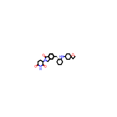 O=C1CCC(N2Cc3cc(C[C@H]4CCCCC4NC4CCC5(CCO5)CC4)ccc3C2=O)C(=O)N1